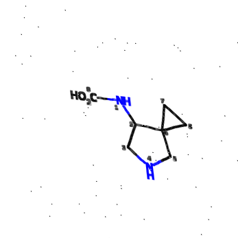 O=C(O)NC1CNCC12CC2